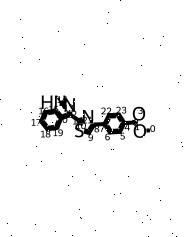 COC(=O)c1ccc(-c2csc(-c3n[nH]c4ccccc34)n2)cc1